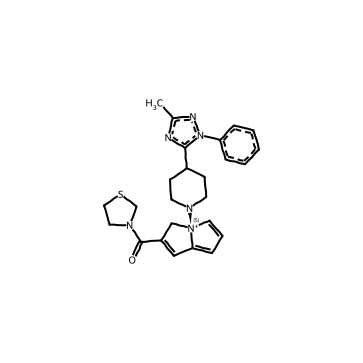 Cc1nc(C2CCN([N@@+]34C=CC=C3C=C(C(=O)N3CCSC3)C4)CC2)n(-c2ccccc2)n1